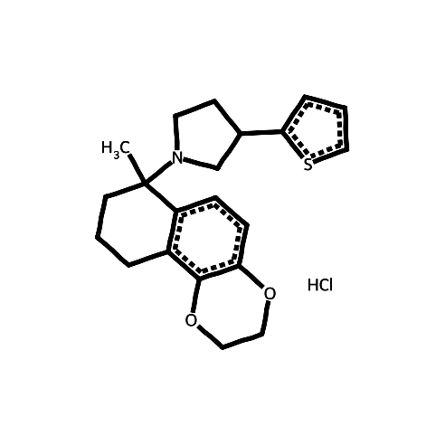 CC1(N2CCC(c3cccs3)C2)CCCc2c1ccc1c2OCCO1.Cl